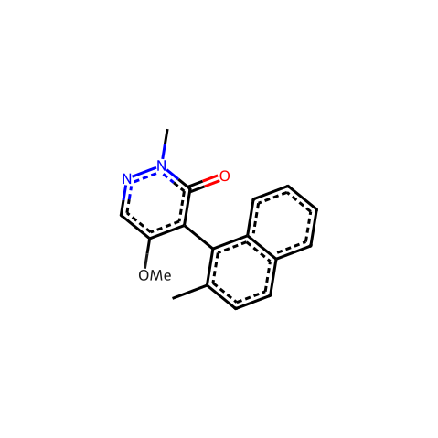 COc1cnn(C)c(=O)c1-c1c(C)ccc2ccccc12